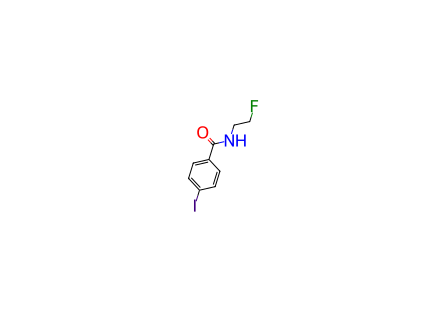 O=C(NCCF)c1ccc(I)cc1